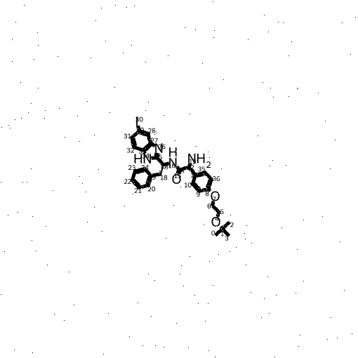 CC(C)(C)OCCOc1ccc(C(N)C(=O)N[C@@H](Cc2ccccc2)c2nc3cc(I)ccc3[nH]2)cc1